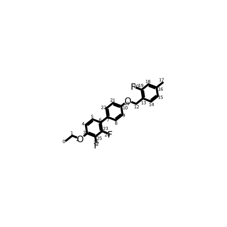 CCOc1ccc(-c2ccc(OCc3ccc(C)cc3F)cc2)c(F)c1F